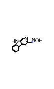 O/N=C/c1cc2c(cn1)[nH]c1ccccc12